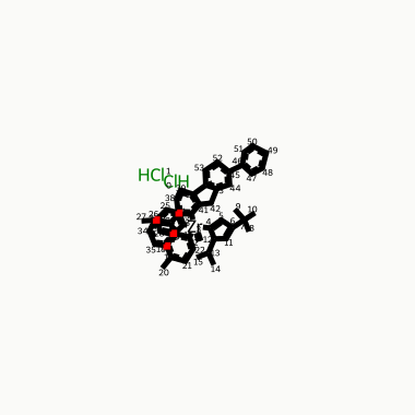 Cl.Cl.[CH2]=[Zr]([C]1=CC(C(C)(C)C)=CC1C(C)C)([c]1ccc(C)cc1)([c]1ccc(C)cc1)[c]1c(-c2ccccc2)ccc2c1Cc1cc(-c3ccccc3)ccc1-2